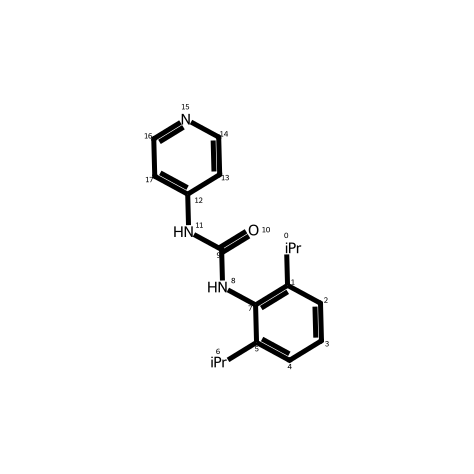 CC(C)c1cccc(C(C)C)c1NC(=O)Nc1ccncc1